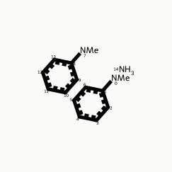 CNc1ccccc1.CNc1ccccc1.N